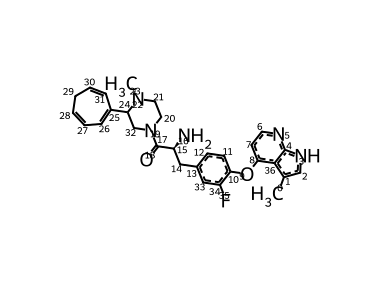 Cc1c[nH]c2nccc(Oc3ccc(C[C@H](N)C(=O)N4CCN(C)C(C5=CC=CCC=C5)C4)cc3F)c12